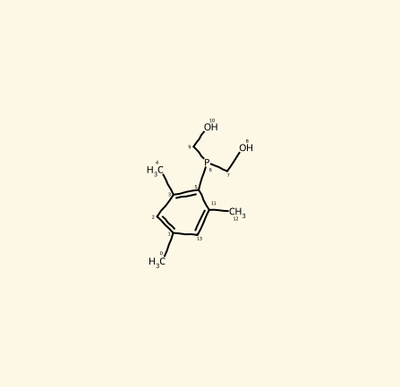 Cc1cc(C)c(P(CO)CO)c(C)c1